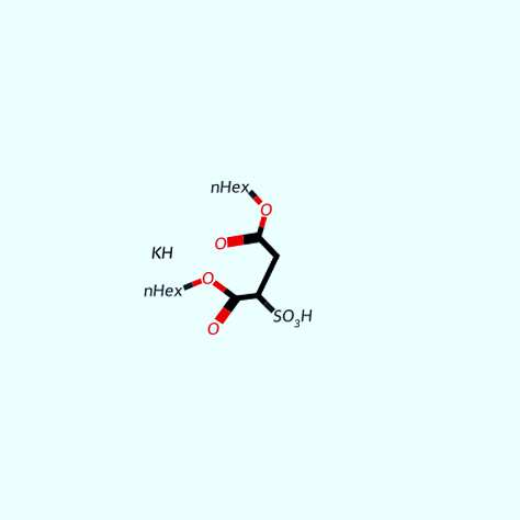 CCCCCCOC(=O)CC(C(=O)OCCCCCC)S(=O)(=O)O.[KH]